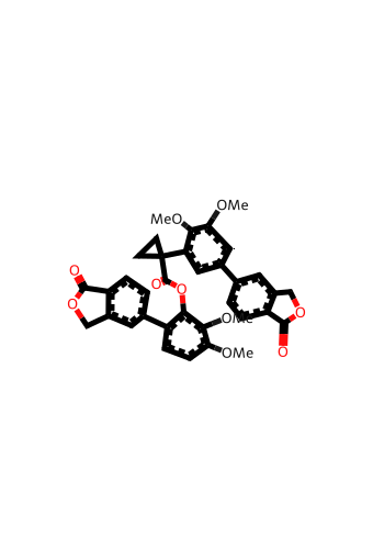 COc1[c]c(-c2ccc3c(c2)COC3=O)cc(C2(C(=O)Oc3c(-c4ccc5c(c4)COC5=O)ccc(OC)c3OC)CC2)c1OC